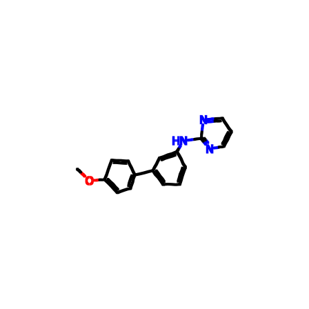 COc1ccc(-c2cccc(Nc3ncccn3)c2)cc1